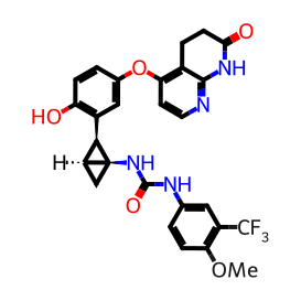 COc1ccc(NC(=O)N[C@@]23C[C@H]2[C@H]3c2cc(Oc3ccnc4c3CCC(=O)N4)ccc2O)cc1C(F)(F)F